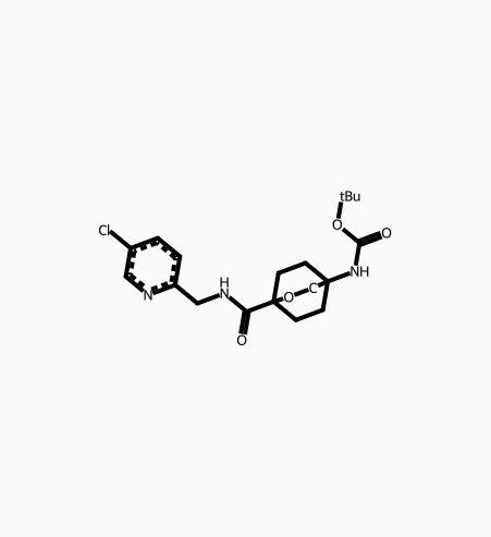 CC(C)(C)OC(=O)NC12CCC(C(=O)NCc3ccc(Cl)cn3)(CC1)OC2